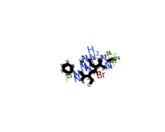 CCC(c1cnn(-c2ccccc2F)c1)c1c(Br)c(-c2cnc(C(F)(F)F)nc2)c2c(N)ncnn12